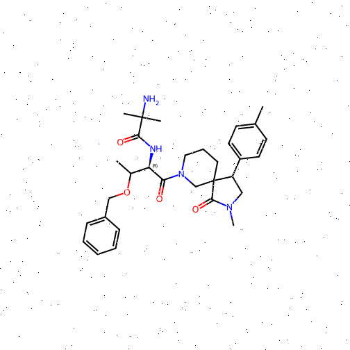 Cc1ccc(C2CN(C)C(=O)C23CCCN(C(=O)[C@H](NC(=O)C(C)(C)N)C(C)OCc2ccccc2)C3)cc1